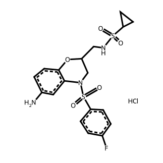 Cl.Nc1ccc2c(c1)N(S(=O)(=O)c1ccc(F)cc1)CC(CNS(=O)(=O)C1CC1)O2